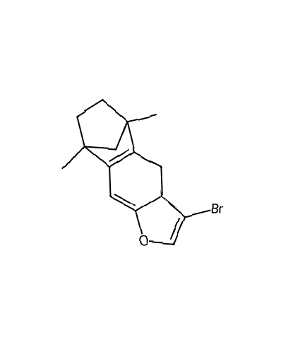 CC12CCC(C)(C1)C1=C2C=C2OC=C(Br)C2C1